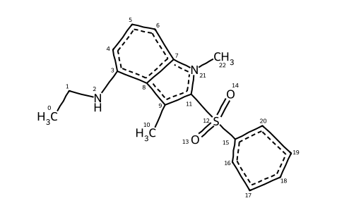 CCNc1cccc2c1c(C)c(S(=O)(=O)c1ccccc1)n2C